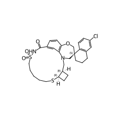 O=C1NS(=O)(=O)CCCCCS[C@@H]2CC[C@@H]2CN2C[C@@]3(CCCc4cc(Cl)ccc43)COc3ccc1cc32